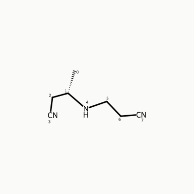 C[C@@H](CC#N)NCCC#N